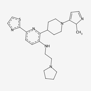 CC1N=CC=C1N1CCC(c2nc(-c3nccs3)ccc2NCCN2CCCC2)CC1